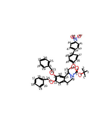 CC(C)(C)OC(=O)N1CCc2cc(OCc3ccccc3)c(OCc3ccccc3)cc2C1COc1ccc(-c2ccc([N+](=O)[O-])cc2)cc1